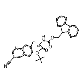 CC(C)(C)OC(=O)[C@H](Cc1ccc2cc(C#N)cnc2c1)NC(=O)OCC1c2ccccc2-c2ccccc21